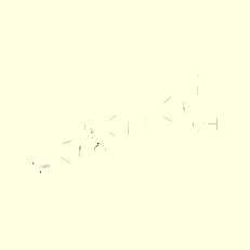 CCCc1c(OCc2ccc(S(=O)(=O)c3ccc(C#N)cc3)cc2)ccc(C(C)=O)c1O